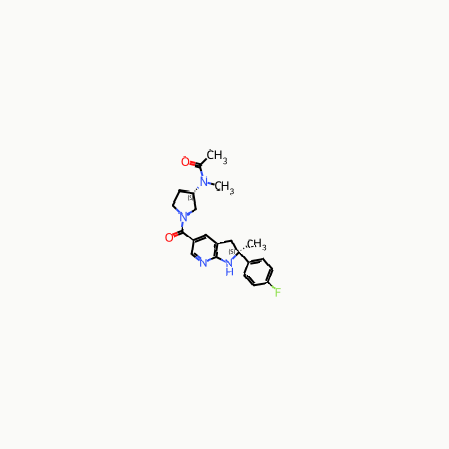 CC(=O)N(C)[C@H]1CCN(C(=O)c2cnc3c(c2)C[C@@](C)(c2ccc(F)cc2)N3)C1